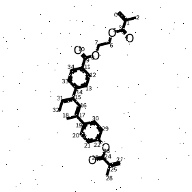 C=C(C)C(=O)OCCOC(=O)c1ccc(C(/C=C(\C)c2ccc(OC(=O)C(=C)C)cc2)=C/C)cc1